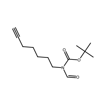 C#CCCCCCN(C=O)C(=O)OC(C)(C)C